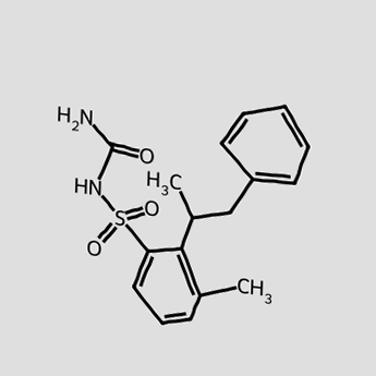 Cc1cccc(S(=O)(=O)NC(N)=O)c1C(C)Cc1ccccc1